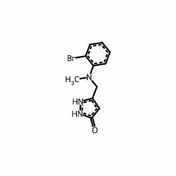 CN(Cc1cc(=O)[nH][nH]1)c1ccccc1Br